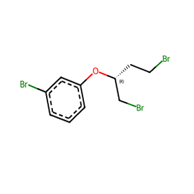 BrCC[C@H](CBr)Oc1cccc(Br)c1